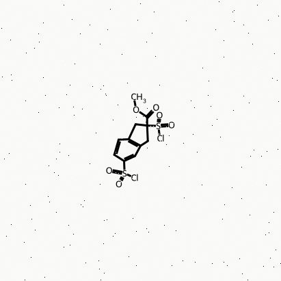 COC(=O)C1(S(=O)(=O)Cl)Cc2ccc(S(=O)(=O)Cl)cc2C1